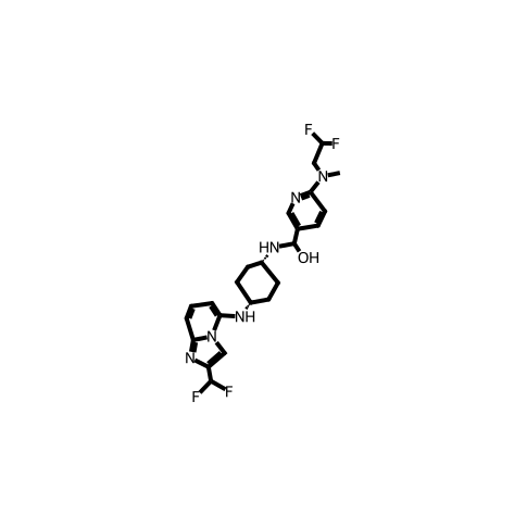 CN(CC(F)F)c1ccc(C(O)N[C@H]2CC[C@@H](Nc3cccc4nc(C(F)F)cn34)CC2)cn1